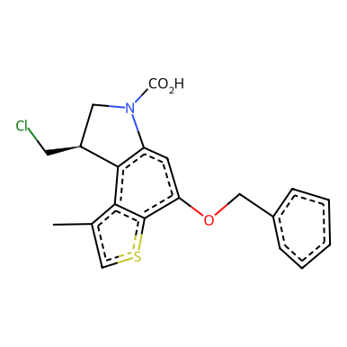 Cc1csc2c(OCc3ccccc3)cc3c(c12)[C@@H](CCl)CN3C(=O)O